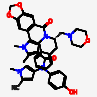 Cc1c(C(=O)N(c2ccc(O)cc2)c2cc(C#N)n(C)c2)cc(-c2cc3c(cc2C(=O)N2Cc4ccccc4C[C@H]2CN2CCOCC2)OCO3)n1C